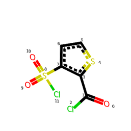 O=C(Cl)c1sccc1S(=O)(=O)Cl